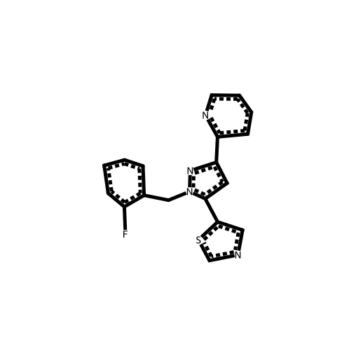 Fc1ccccc1Cn1nc(-c2ccccn2)cc1-c1cncs1